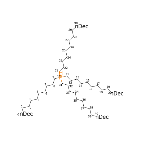 CCCCCCCCCCCCCCCCCCC[PH](CCCCCCCCCCCCCCCCCCC)(CCCCCCCCCCCCCCCCCCC)CCCCCCCCCCCCCCCCCCC